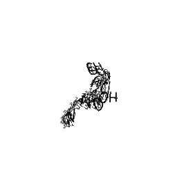 COc1ccc2ncc(Cl)c([C@@H](F)CCC3(CC(=O)O)CCN(CCCCc4ccccn4)CC3)c2c1